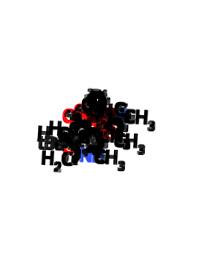 C=CC(CO[Si](C)(C)C(C)(C)C)NCC(C)CC(C)(OC)C(O[C@@H]1O[C@H](C)C[C@H](N(C)C)[C@H]1OC(=O)c1ccccc1)C(C)C1=C(C)C(=O)OC(C)(C)O1